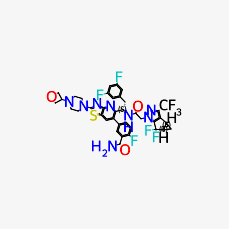 NC(=O)c1cc(-c2cc3sc(N4CCN(C5COC5)CC4)nc3nc2[C@H](Cc2cc(F)cc(F)c2)NC(=O)Cn2nc(C(F)(F)F)c3c2C(F)(F)[C@@H]2C[C@H]32)ccc1F